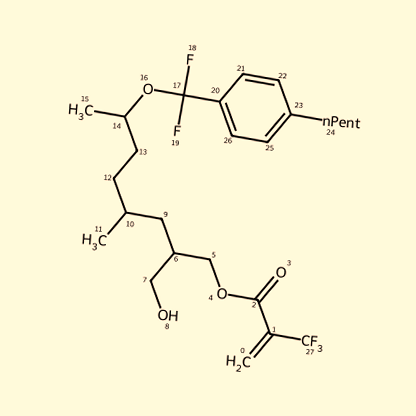 C=C(C(=O)OCC(CO)CC(C)CCC(C)OC(F)(F)c1ccc(CCCCC)cc1)C(F)(F)F